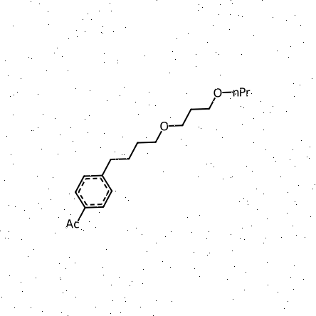 CCCOCCCOCCCCc1ccc(C(C)=O)cc1